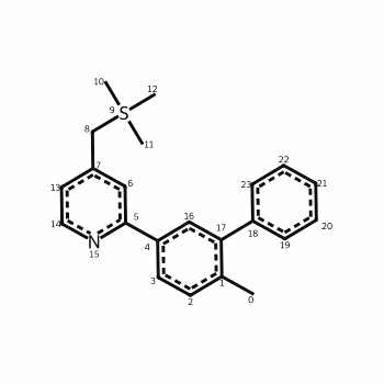 Cc1ccc(-c2cc(CS(C)(C)C)ccn2)cc1-c1ccccc1